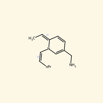 C/C=C1/C=CC(CN)=CN1/C=C\CCC